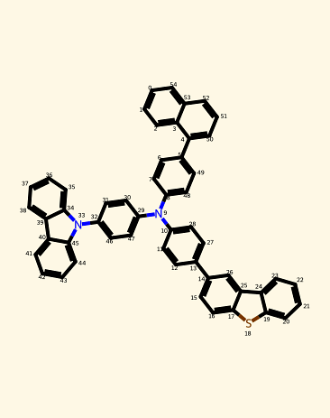 c1ccc2c(-c3ccc(N(c4ccc(-c5ccc6sc7ccccc7c6c5)cc4)c4ccc(-n5c6ccccc6c6ccccc65)cc4)cc3)cccc2c1